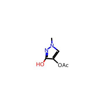 CC(=O)Oc1cn(C)nc1O